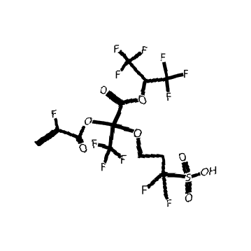 C=C(F)C(=O)OC(OCCC(F)(F)S(=O)(=O)O)(C(=O)OC(C(F)(F)F)C(F)(F)F)C(F)(F)F